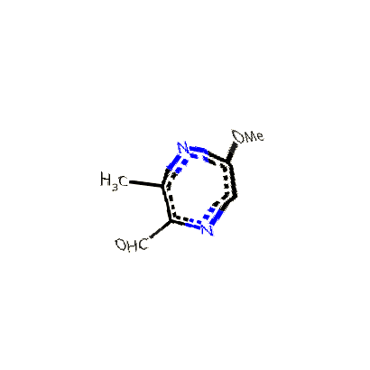 COc1cnc(C=O)c(C)n1